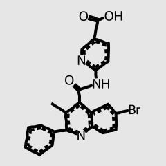 Cc1c(-c2ccccc2)nc2ccc(Br)cc2c1C(=O)Nc1ccc(C(=O)O)cn1